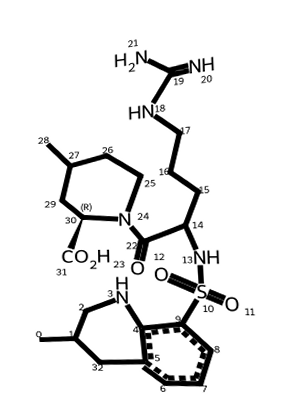 CC1CNc2c(cccc2S(=O)(=O)NC(CCCNC(=N)N)C(=O)N2CCC(C)C[C@@H]2C(=O)O)C1